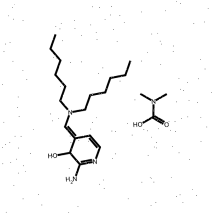 CCCCCCN(C=C1C=CN=C(N)C1O)CCCCCC.CN(C)C(=O)O